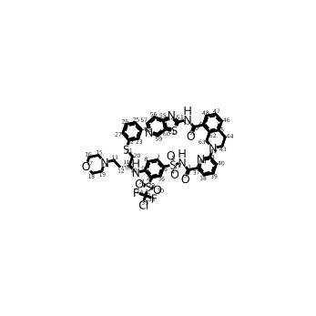 O=C(NS(=O)(=O)c1ccc(N[C@H](CCN2CCOCC2)CSc2ccccc2)c(S(=O)(=O)C(F)(F)Cl)c1)c1cccc(N2CCc3cccc(C(=O)Nc4nc5ccncc5s4)c3C2)n1